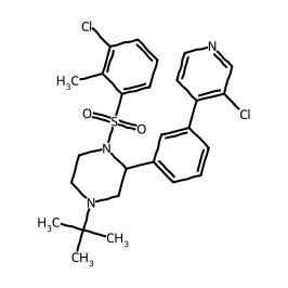 Cc1c(Cl)cccc1S(=O)(=O)N1CCN(C(C)(C)C)CC1c1cccc(-c2ccncc2Cl)c1